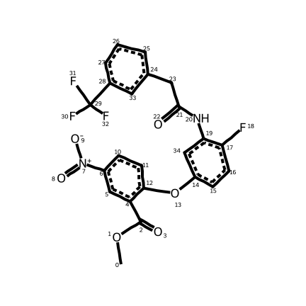 COC(=O)c1cc([N+](=O)[O-])ccc1Oc1ccc(F)c(NC(=O)Cc2cccc(C(F)(F)F)c2)c1